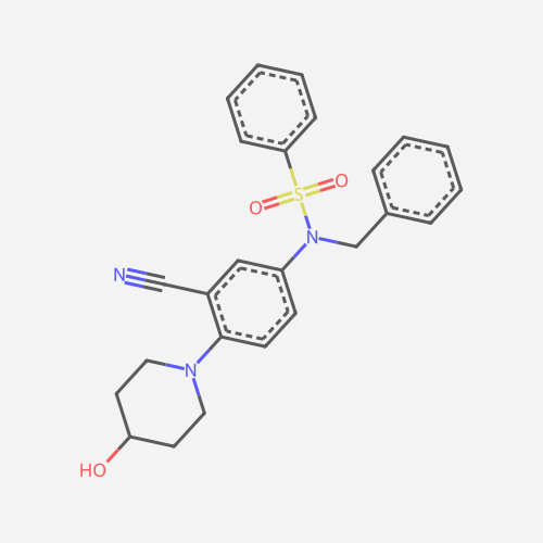 N#Cc1cc(N(Cc2ccccc2)S(=O)(=O)c2ccccc2)ccc1N1CCC(O)CC1